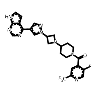 O=C(c1cc(C(F)(F)F)ncc1F)N1CCC(N2C[C](n3cc(-c4ncnc5[nH]ccc45)cn3)C2)CC1